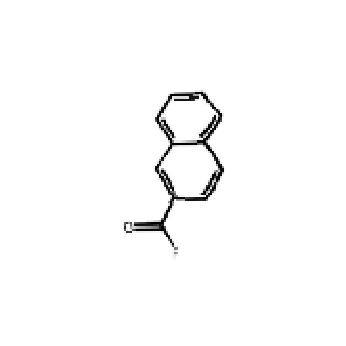 O=C(F)c1ccc2ccccc2c1